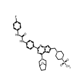 CS(=O)(=O)N1CCN(Cc2cc3c(N4CC5CCC(C4)O5)nc(-c4ccc(NC(=O)Nc5ccc(F)cc5)cc4)nn3c2)CC1